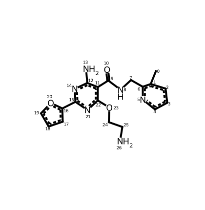 Cc1cccnc1CNC(=O)c1c(N)nc(-c2ccco2)nc1OCCN